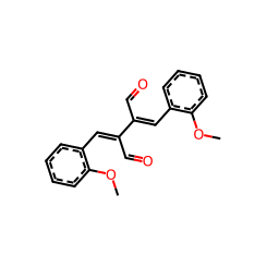 COc1ccccc1C=C(C=O)C(C=O)=Cc1ccccc1OC